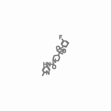 Cc1ccc(NC(=O)N2CCC(C(C)(C)S(=O)(=O)c3cccc(F)c3)CC2)cn1